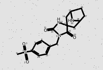 CS(=O)(=O)c1ccc(CN2C(=O)NC3(CC4CCC(C3)N4)C2=O)cc1